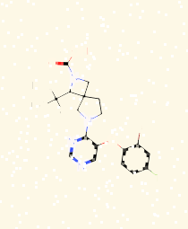 CC(C)(C)C1N(C(=O)O)CC12CCN(c1ncncc1Oc1ccc(F)cc1Br)C2